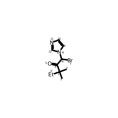 CCC(C)(C)C(=O)C(Br)n1ccnc1